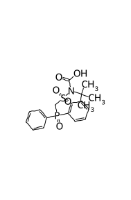 CC(C)(C)N(C(=O)O)S(=O)(=O)CP(=O)(c1ccccc1)c1ccccc1